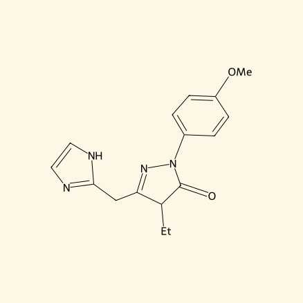 CCC1C(=O)N(c2ccc(OC)cc2)N=C1Cc1ncc[nH]1